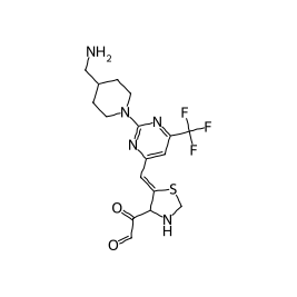 NCC1CCN(c2nc(/C=C3\SCNC3C(=O)C=O)cc(C(F)(F)F)n2)CC1